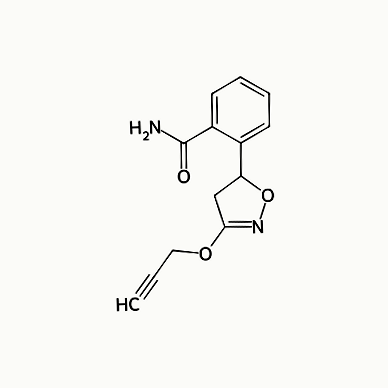 C#CCOC1=NOC(c2ccccc2C(N)=O)C1